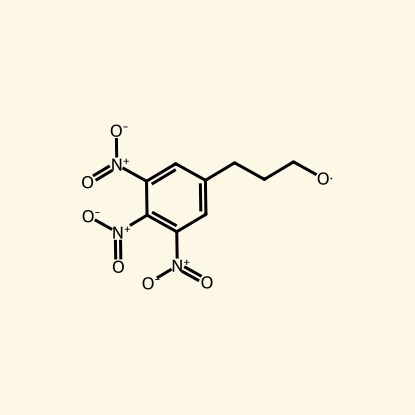 [O]CCCc1cc([N+](=O)[O-])c([N+](=O)[O-])c([N+](=O)[O-])c1